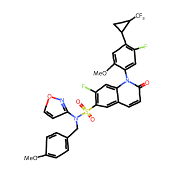 COc1ccc(CN(c2ccon2)S(=O)(=O)c2cc3ccc(=O)n(-c4cc(F)c(C5CC5C(F)(F)F)cc4OC)c3cc2F)cc1